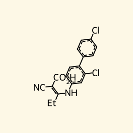 CCC(Nc1ccc(-c2ccc(Cl)cc2)c(Cl)c1)=C(C#N)C(=O)O